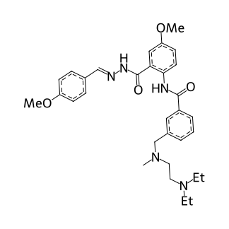 CCN(CC)CCN(C)Cc1cccc(C(=O)Nc2ccc(OC)cc2C(=O)N/N=C/c2ccc(OC)cc2)c1